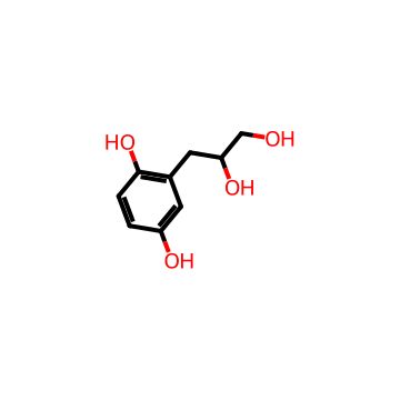 OCC(O)Cc1cc(O)ccc1O